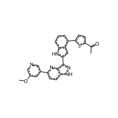 COc1cncc(-c2ccc3[nH]nc(-c4cc5c(-c6ccc(C(C)=O)s6)cccc5[nH]4)c3n2)c1